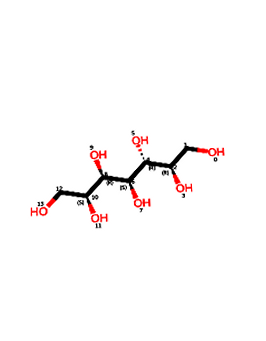 OC[C@@H](O)[C@@H](O)[C@@H](O)[C@H](O)[C@@H](O)CO